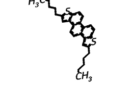 CCCCCc1cc2c(ccc3c2ccc2c4cc(CCCCC)sc4ccc23)s1